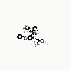 CC(C)=CCOc1ccc(OCc2ccccc2)cc1C1Nc2ncccc2N1OC(=O)C(F)(F)F